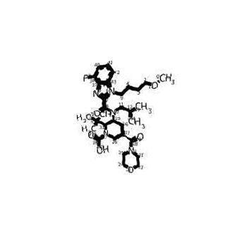 COCCCCn1c(C(=O)N(CC(C)C)[C@H]2C[C@@H](C(=O)N3CCOCC3)CN(C(=O)O)C2C(C)(C)C)nc2c(F)cccc21